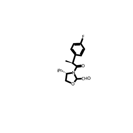 CC(C)[C@H]1COC(C=O)N1C(=O)[C@@H](C)c1ccc(F)cc1